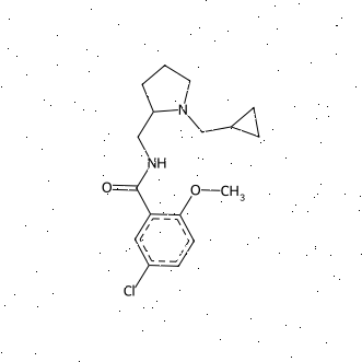 COc1ccc(Cl)cc1C(=O)NCC1CCCN1CC1CC1